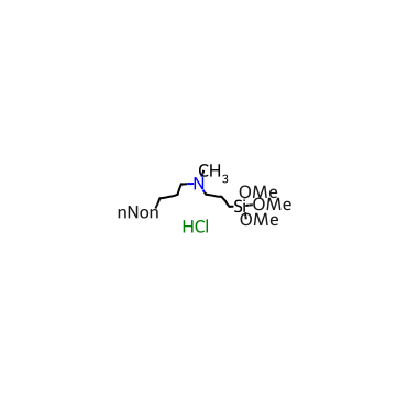 CCCCCCCCCCCCN(C)CCC[Si](OC)(OC)OC.Cl